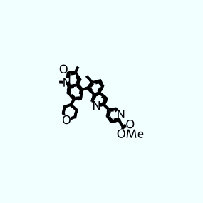 COC(=O)c1ccc(-c2cc3ccc(C)c(-c4cc(C5CCOCC5)cc5c4cc(C)c(=O)n5C)c3cn2)cn1